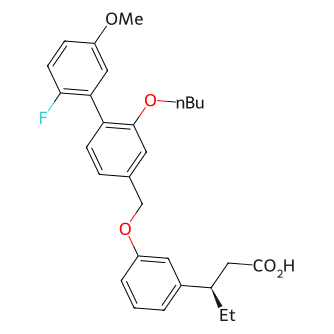 CCCCOc1cc(COc2cccc([C@H](CC)CC(=O)O)c2)ccc1-c1cc(OC)ccc1F